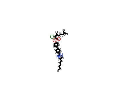 CCCCCCc1cnc(-c2ccc(-c3ccc(OC(=O)C(Cl)C(C)CCCC(C)C)cc3)cc2)nc1